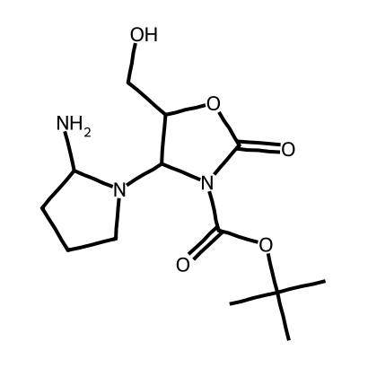 CC(C)(C)OC(=O)N1C(=O)OC(CO)C1N1CCCC1N